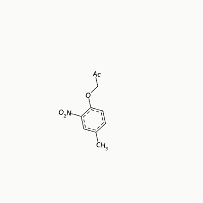 CC(=O)COc1ccc(C)cc1[N+](=O)[O-]